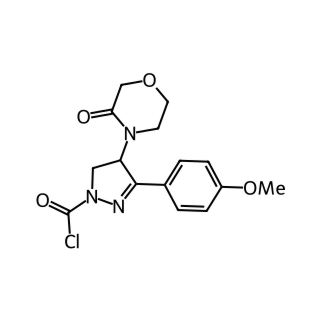 COc1ccc(C2=NN(C(=O)Cl)CC2N2CCOCC2=O)cc1